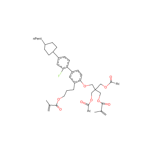 C=C(C)C(=O)OCCCc1cc(-c2ccc(C3CCC(CCCCC)CC3)cc2F)ccc1OCC(COC(=O)C(=C)C)(COC(=O)C(C)=O)COC(=O)C(C)=O